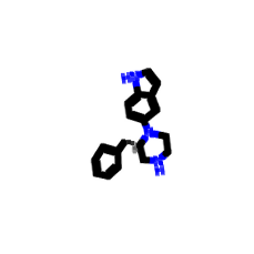 c1ccc(C[C@H]2CNCCN2c2ccc3[nH]ccc3c2)cc1